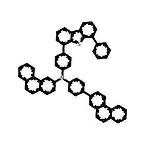 c1ccc(-c2cccc3c2sc2c(-c4ccc(N(c5ccc(-c6ccc7c(ccc8ccccc87)c6)cc5)c5ccc6ccc7ccccc7c6c5)cc4)cccc23)cc1